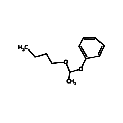 CCCCOC(C)Oc1ccccc1